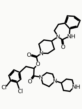 O=C(OC(Cc1ccc(Cl)c(Cl)c1)C(=O)N1CCN(C2CCNCC2)CC1)N1CCC(N2CCc3ccccc3NC2=O)CC1